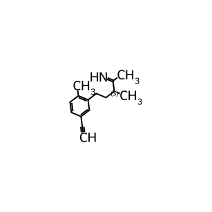 C#Cc1ccc(C)c(CC[C@H](C)C(C)=N)c1